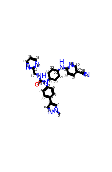 Cn1cc(-c2ccc(N(C(=O)NCc3ncccn3)C3CCC(Nc4ccc(C#N)cn4)CC3)cc2)cn1